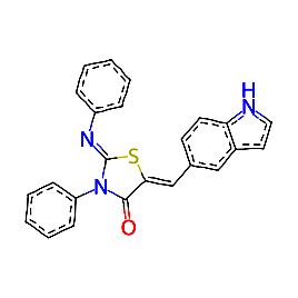 O=C1C(=Cc2ccc3[nH]ccc3c2)SC(=Nc2ccccc2)N1c1ccccc1